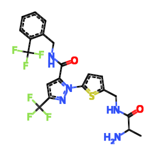 CC(N)C(=O)NCc1ccc(-n2nc(C(F)(F)F)cc2C(=O)NCc2ccccc2C(F)(F)F)s1